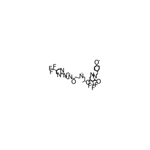 COc1ccc(Cn2ncc(OC(C)CN(C)CCC(=O)N3CCN(c4ncc(C(F)(F)F)cn4)CC3)c(C(F)(F)F)c2=O)cc1